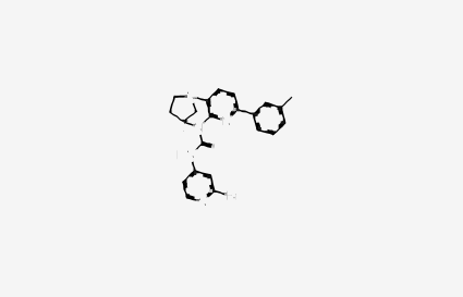 Cc1cccc(-c2ccc3c(n2)N(C(=O)Nc2ccnc(Br)c2)[C@H]2CCN3C2)c1